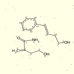 C=C(CCO)C(N)=O.OCCC=Cc1ccccc1